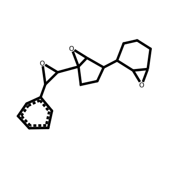 c1ccc(C2OC2C23CCC(C4CCCC5OC54)C2O3)cc1